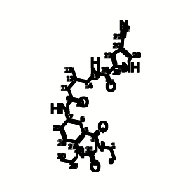 CCn1c(=O)c2cc(NC(=O)CC(C)CNC(=O)c3cc(C#N)c[nH]3)ccc2n(CC)c1=O